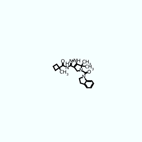 CC1(C(=O)Nc2n[nH]c3c2CN(C(=O)N2CCc4ccccc42)C3(C)C)CCC1